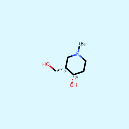 CC(C)(C)N1CC[C@H](O)[C@H](CO)C1